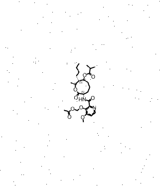 CCCC[C@H]1[C@H](C)OC(=O)[C@@H](NC(=O)c2nccc(OC)c2OCOC(C)=O)CCC[C@@H]1OC(=O)C(C)C